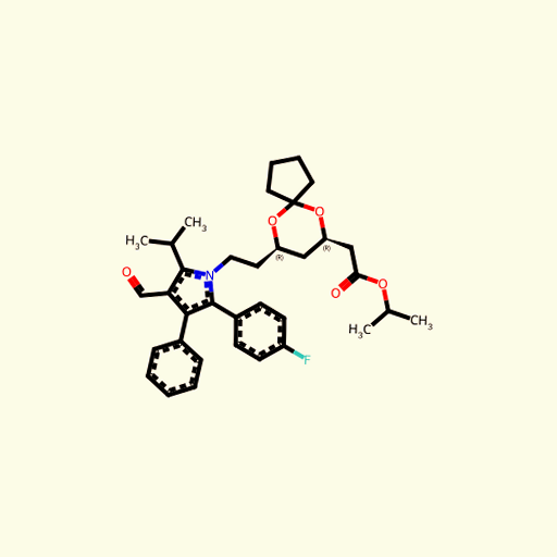 CC(C)OC(=O)C[C@H]1C[C@@H](CCn2c(-c3ccc(F)cc3)c(-c3ccccc3)c(C=O)c2C(C)C)OC2(CCCC2)O1